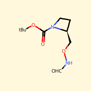 CC(C)(C)OC(=O)N1CC[C@H]1CONC=O